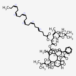 CC/C=C\C/C=C\C/C=C\C/C=C\C/C=C\C/C=C/CCC(=O)O[C@@H](C(=O)O[C@H]1C[C@@]2(O)[C@@H](OC(=O)c3ccccc3)C3[C@](C)(C(=O)[C@H](OC(=O)N(C)C)C(=C1C)C2(C)C)[C@@H](O)C[C@H]1OC[C@@]31OC(C)=O)[C@H](C=C(C)C)NC(=O)OC(C)(C)C